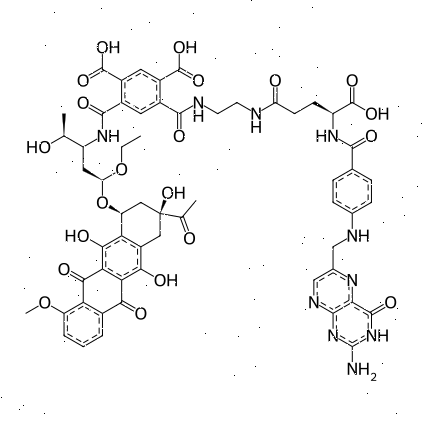 CCO[C@H](CC(NC(=O)c1cc(C(=O)NCCNC(=O)CC[C@H](NC(=O)c2ccc(NCc3cnc4nc(N)[nH]c(=O)c4n3)cc2)C(=O)O)c(C(=O)O)cc1C(=O)O)[C@H](C)O)O[C@H]1C[C@](O)(C(C)=O)Cc2c(O)c3c(c(O)c21)C(=O)c1c(OC)cccc1C3=O